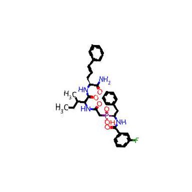 CCC(C)C(NC(=O)CP(=O)(O)C(Cc1ccccc1)NC(=O)c1cccc(F)c1)C(=O)N[C@@H](CC=Cc1ccccc1)C(N)=O